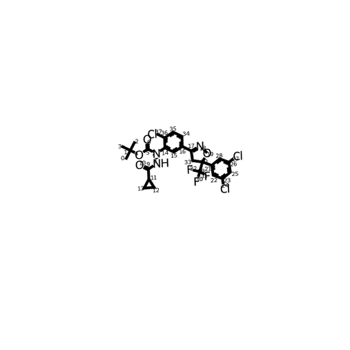 CC(C)(C)OC(=O)N(NC(=O)C1CC1)c1cc(C2=NOC(c3cc(Cl)cc(Cl)c3)(C(F)(F)F)C2)ccc1Cl